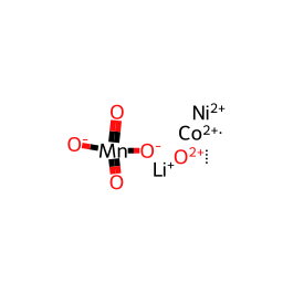 [Co+2].[Li+].[Ni+2].[O+2].[O]=[Mn](=[O])([O-])[O-]